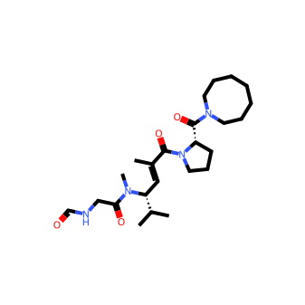 C/C(=C\[C@H](C(C)C)N(C)C(=O)CNC=O)C(=O)N1CCC[C@H]1C(=O)N1CCCCCCC1